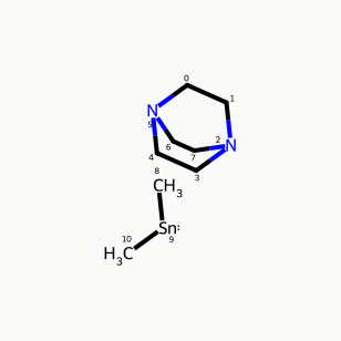 C1CN2CCN1CC2.[CH3][Sn][CH3]